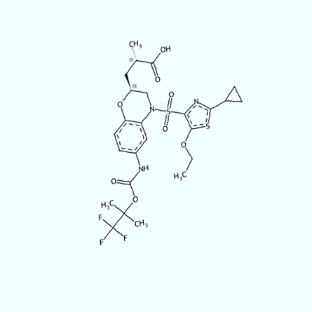 CCOc1sc(C2CC2)nc1S(=O)(=O)N1C[C@H](C[C@H](C)C(=O)O)Oc2ccc(NC(=O)OC(C)(C)C(F)(F)F)cc21